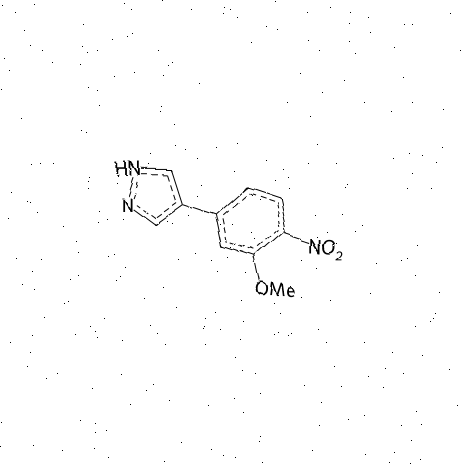 COc1cc(-c2cn[nH]c2)ccc1[N+](=O)[O-]